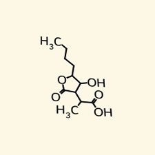 CCCCC1OC(=O)C(C(C)C(=O)O)C1O